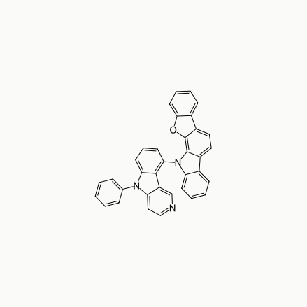 c1ccc(-n2c3ccncc3c3c(-n4c5ccccc5c5ccc6c7ccccc7oc6c54)cccc32)cc1